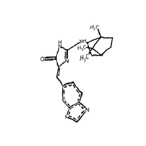 CC1(C)C2CCC1(C)[C@H](NC1=N/C(=C\c3ccc4ncsc4c3)C(=O)N1)C2